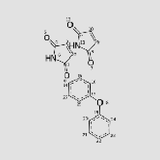 O=C1C=CC(=O)N1.O=C1C=CC(=O)N1.c1ccc(Oc2ccccc2)cc1